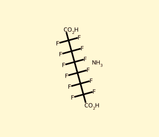 N.O=C(O)C(F)(F)C(F)(F)C(F)(F)C(F)(F)C(F)(F)C(F)(F)C(=O)O